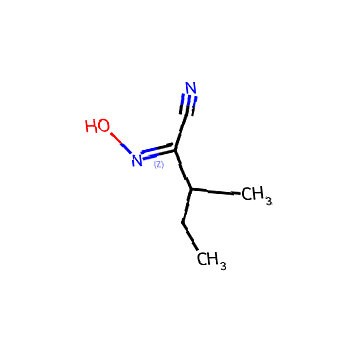 CCC(C)/C(C#N)=N/O